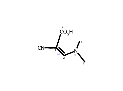 [C-]#[N+]/C(=C/N(C)C)C(=O)O